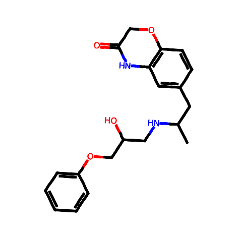 CC(Cc1ccc2c(c1)NC(=O)CO2)NCC(O)COc1ccccc1